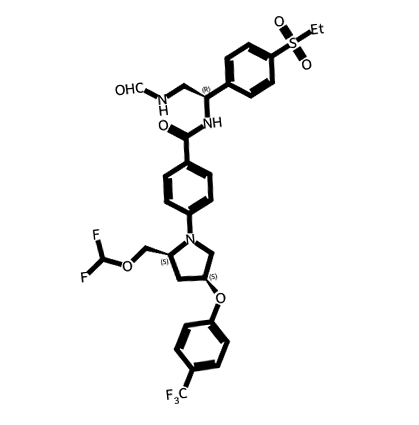 CCS(=O)(=O)c1ccc([C@H](CNC=O)NC(=O)c2ccc(N3C[C@@H](Oc4ccc(C(F)(F)F)cc4)C[C@H]3COC(F)F)cc2)cc1